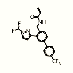 C=CC(=O)NCc1ccc(-c2ccc(C(F)(F)F)cc2)cc1-c1ccn(C(F)F)n1